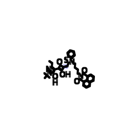 CCc1nn(C(C)(C)C)c(O)c1C1=C(O)/C(=C/C2Sc3ccccc3N2CCCCN2C(=O)c3cccc4cccc(c34)C2=O)C1=O